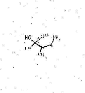 CC(CN)C(O)(O)S